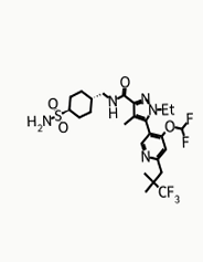 CCn1nc(C(=O)NC[C@H]2CC[C@H](S(N)(=O)=O)CC2)c(C)c1-c1cnc(CC(C)(C)C(F)(F)F)cc1OC(F)F